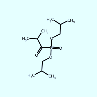 CC(C)COP(=O)(OCC(C)C)C(=O)C(C)C